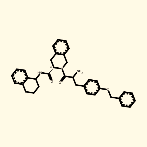 NC(Cc1ccc(OCc2ccccc2)cc1)C(=O)N1Cc2ccccc2C[C@H]1C(=O)NC1CCCc2ccccc21